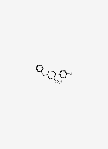 O=C(O)C1CN(Cc2ccccc2)CCC1c1ccc(Cl)cc1